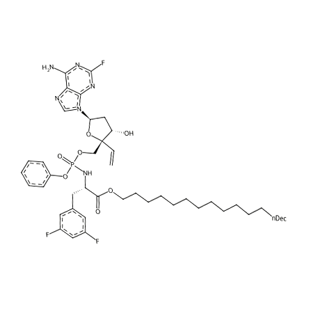 C=C[C@]1(COP(=O)(N[C@@H](Cc2cc(F)cc(F)c2)C(=O)OCCCCCCCCCCCCCCCCCCCCCC)Oc2ccccc2)O[C@@H](n2cnc3c(N)nc(F)nc32)C[C@@H]1O